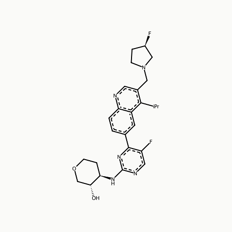 CC(C)c1c(CN2CC[C@@H](F)C2)cnc2ccc(-c3nc(N[C@@H]4CCOC[C@H]4O)ncc3F)cc12